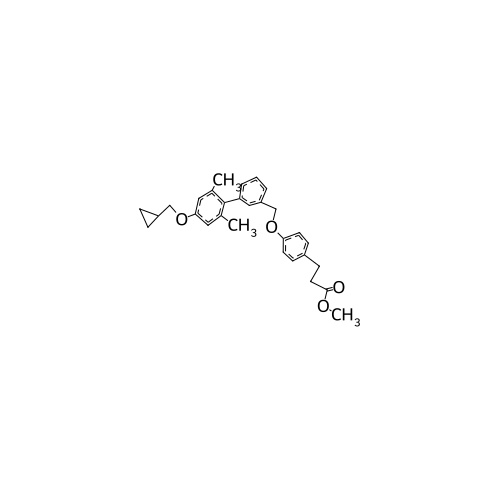 COC(=O)CCc1ccc(OCc2cccc(-c3c(C)cc(OCC4CC4)cc3C)c2)cc1